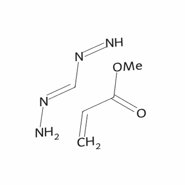 C=CC(=O)OC.N=NC=NN